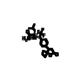 CC(C)C[C@H](N[C@@H](c1ccc(C2=CC(=O)OC23CCC3)cc1)C(F)(F)F)C(N)=O